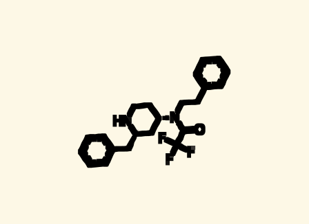 O=C(N(CCc1ccccc1)[C@H]1CCN[C@H](Cc2ccccc2)C1)C(F)(F)F